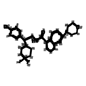 CCc1ncc(C(CNC(=O)c2cccc3nc(N4CCOCC4)ccc23)N2CCC(F)(F)CC2)cn1